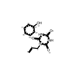 C=CCn1c(=O)[nH]c(=O)[nH]c1=O.Oc1ccccc1